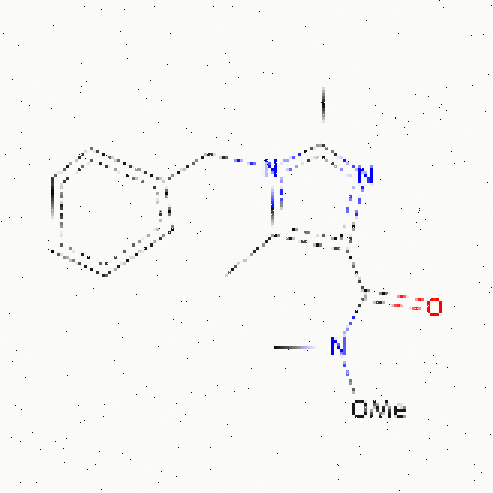 CON(C)C(=O)c1nc(C)n(Cc2ccccc2)c1C